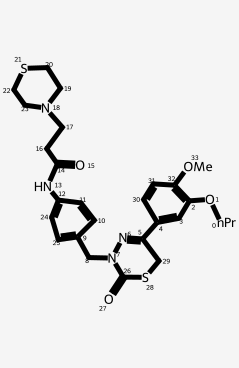 CCCOc1cc(C2=NN(Cc3ccc(NC(=O)CCN4CCSCC4)cc3)C(=O)SC2)ccc1OC